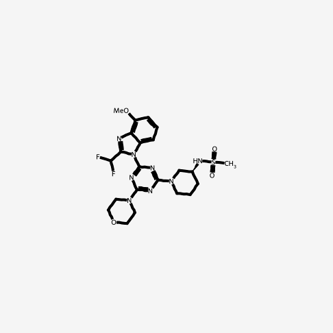 COc1cccc2c1nc(C(F)F)n2-c1nc(N2CCOCC2)nc(N2CCC[C@H](NS(C)(=O)=O)C2)n1